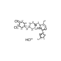 Cc1ccc(C(=O)NC(CN2CCC(Cc3ccc(Cl)c(Cl)c3)CC2)C(C)C)s1.Cl